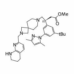 COC(=O)C[C@H](CN1CCC2(CC1)CN(Cc1ccc3c(n1)NCCC3)C2)c1cc(-n2nc(C)cc2C)cc(C(C)(C)C)c1